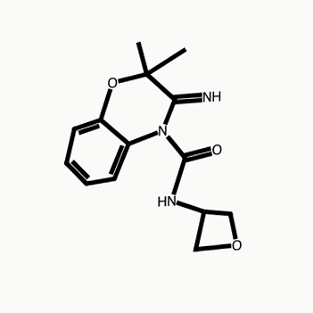 CC1(C)Oc2ccccc2N(C(=O)NC2COC2)C1=N